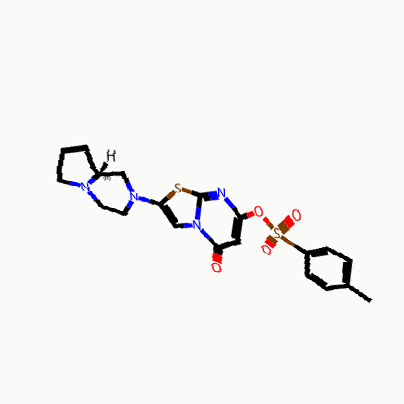 Cc1ccc(S(=O)(=O)Oc2cc(=O)n3cc(N4CCN5CCC[C@@H]5C4)sc3n2)cc1